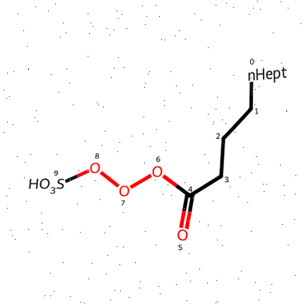 CCCCCCCCCCC(=O)OOOS(=O)(=O)O